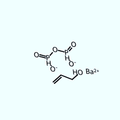 C=CCO.O=[PH]([O-])O[PH](=O)[O-].[Ba+2]